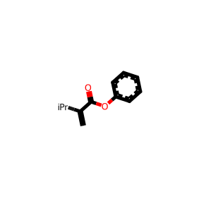 C=C(C(=O)Oc1ccccc1)C(C)C